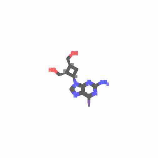 Nc1nc(I)c2ncn([C@@H]3C[C@H](CO)[C@H]3CO)c2n1